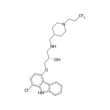 O[C@@H](CNCC1CCN(CCC(F)(F)F)CC1)COc1ccc(Cl)c2[nH]c3ccccc3c12